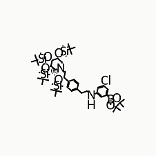 CC1(C)OB(c2cc(Cl)cc(NCCc3ccc(CCN4CC(O[Si](C)(C)C(C)(C)C)C(O[Si](C)(C)C(C)(C)C)C(O[Si](C)(C)C(C)(C)C)[C@H]4CO[Si](C)(C)C(C)(C)C)cc3)c2)OC1(C)C